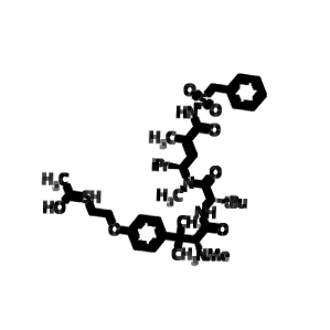 CN[C@H](C(=O)N[C@H](C(=O)N(C)[C@H](/C=C(\C)C(=O)NS(=O)(=O)Cc1ccccc1)C(C)C)C(C)(C)C)C(C)(C)c1ccc(OCC[SH]=C(C)O)cc1